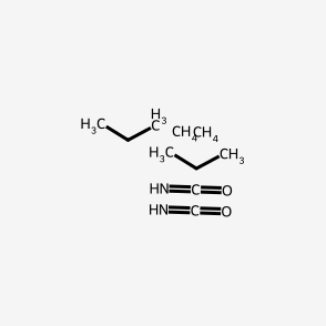 C.C.CCC.CCC.N=C=O.N=C=O